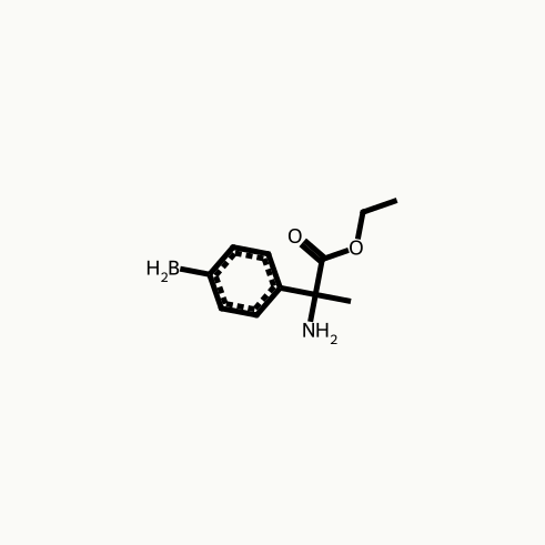 Bc1ccc(C(C)(N)C(=O)OCC)cc1